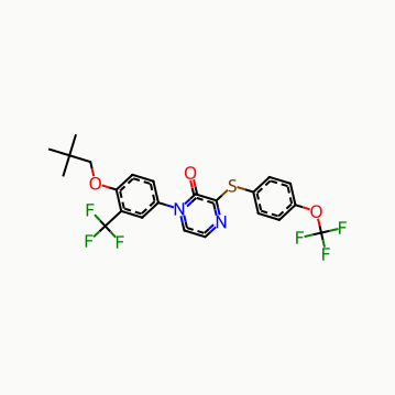 CC(C)(C)COc1ccc(-n2ccnc(Sc3ccc(OC(F)(F)F)cc3)c2=O)cc1C(F)(F)F